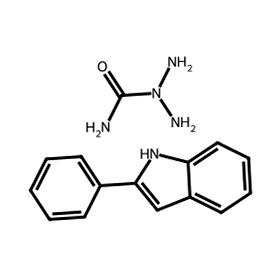 NC(=O)N(N)N.c1ccc(-c2cc3ccccc3[nH]2)cc1